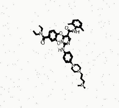 CCN(CC)C(=O)c1ccc(Oc2nc(Nc3ccc(N4CCN(CCCN(C)C)CC4)cc3)ncc2C(=O)Nc2c(C)cccc2C)c(Cl)c1